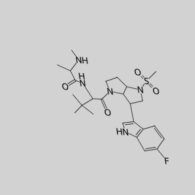 CNC(C)C(=O)NC(C(=O)N1CCC2C1C(c1c[nH]c3cc(F)ccc13)CN2S(C)(=O)=O)C(C)(C)C